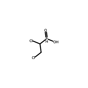 O=[PH](O)C(Cl)CCl